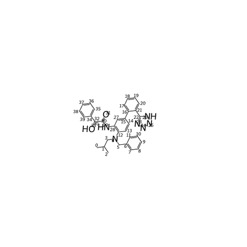 CC(C)CN(Cc1ccccc1)c1ccc(-c2ccccc2-c2nnn[nH]2)cc1NC(=O)[C@H](O)c1ccccc1